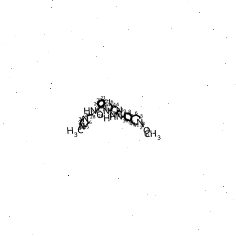 COCCN1CCc2ccc(Nc3ncc(Cl)c(Nc4ccccc4C(=O)NCCN4CCN(C)CC4)n3)cc2CC1